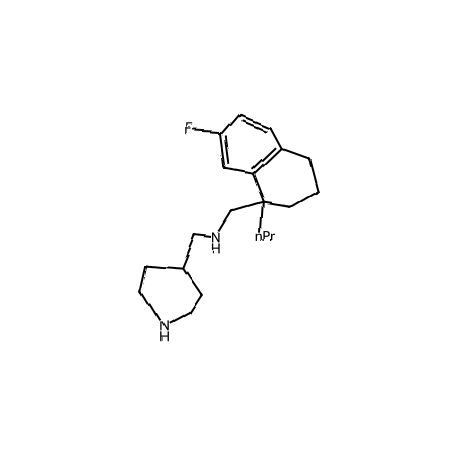 CCCC1(CNCC2CCNCC2)CCCc2ccc(F)cc21